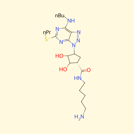 CCCCNc1nc(SCCC)nc2c1nnn2C1C[C@H](C(=O)NCCCCCN)C(O)C1O